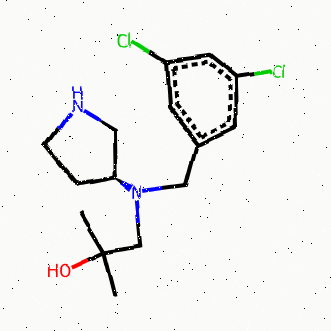 CC(C)(O)CN(Cc1cc(Cl)cc(Cl)c1)[C@H]1CCNC1